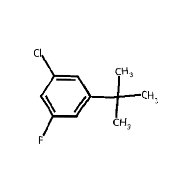 CC(C)(C)c1cc(F)cc(Cl)c1